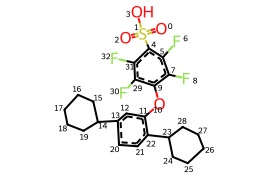 O=S(=O)(O)c1c(F)c(F)c(Oc2cc(C3CCCCC3)ccc2C2CCCCC2)c(F)c1F